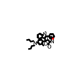 CCCCN(CCCC)c1ccc(C2(c3c(-c4ccccc4)n(C)c4ccccc34)OC(=O)c3nccnc32)c(C)c1